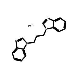 [Pd+2].c1ccc2c(c1)ncn2CCCn1cnc2ccccc21